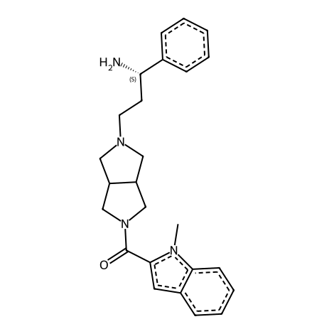 Cn1c(C(=O)N2CC3CN(CC[C@H](N)c4ccccc4)CC3C2)cc2ccccc21